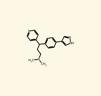 CN(C)CCC(c1ccncc1)c1ccc(-c2cn[nH]c2)cc1